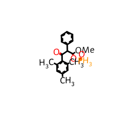 COC(=O)C(C(=O)c1c(C)cc(C)cc1C)c1ccccc1.O=[PH3]